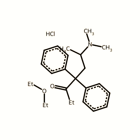 CCC(=O)C(CC(C)N(C)C)(c1ccccc1)c1ccccc1.CCOCC.Cl